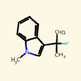 Cn1cc(C(C)(F)C=O)c2ccccc21